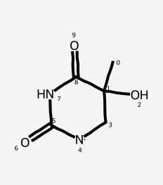 CC1(O)C[N]C(=O)NC1=O